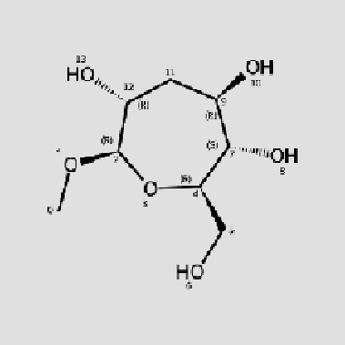 CO[C@@H]1O[C@H](CO)[C@@H](O)[C@H](O)C[C@H]1O